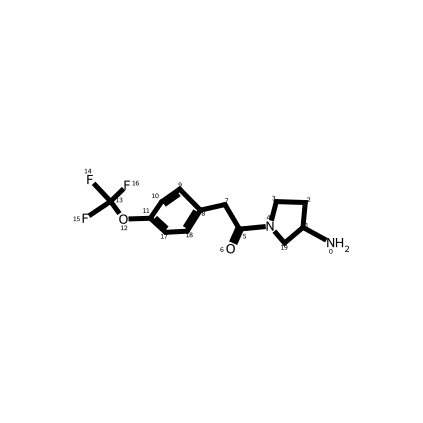 NC1CCN(C(=O)Cc2ccc(OC(F)(F)F)cc2)C1